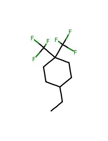 CCC1CCC(C(F)(F)F)(C(F)(F)F)CC1